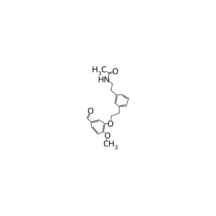 COc1ccc(C=O)cc1OCCc1cccc(CCNC(C)=O)c1